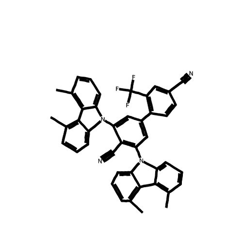 Cc1cccc2c1c1c(C)cccc1n2-c1cc(-c2ccc(C#N)cc2C(F)(F)F)cc(-n2c3cccc(C)c3c3c(C)cccc32)c1C#N